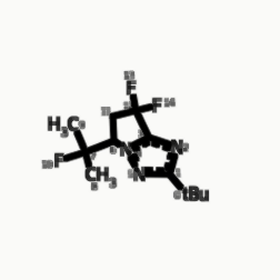 CC(C)(C)c1nc2n(n1)C(C(C)(C)F)CC2(F)F